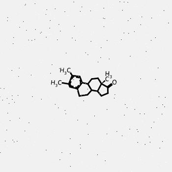 Cc1cc2c(cc1C)C1CC[C@]3(C)C(=O)CCC3C1CC2